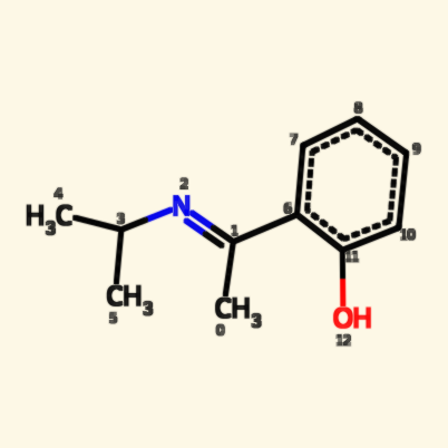 C/C(=N\C(C)C)c1ccccc1O